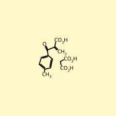 C=C(C(=O)O)C(=O)c1ccc(C)cc1.O=C(O)CC(=O)O